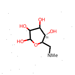 CNCC1OC(O)C(O)C(O)[C@@H]1O